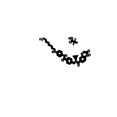 NCCCCCCCNc1ccc(NC(=O)c2ccc(CN(C(=O)c3ccc4c(c3)OCC(=O)N4)C3CC3)cc2)cc1.O=C(O)C(F)(F)F